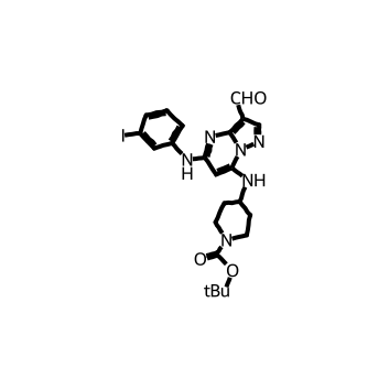 CC(C)(C)OC(=O)N1CCC(Nc2cc(Nc3cccc(I)c3)nc3c(C=O)cnn23)CC1